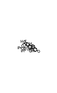 CC(C)OC1(OC(C)C)OCC(=O)[C@@]2(O1)[C@H](C)C[C@H]1[C@@H]3CCC4=CC(=O)C=C[C@]4(C)[C@@]3(F)[C@@H](O)C[C@@]12C